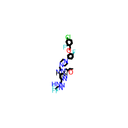 Fc1cc(Cl)ccc1COc1cc(N2CCN(Cc3nc4cc(-c5nnc(C(F)(F)F)[nH]5)nnc4n3C[C@]3([SiH3])CCO3)CC2)ccc1F